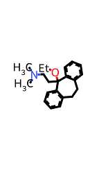 CCOC1(CCN(C)C)c2ccccc2CCc2ccccc21